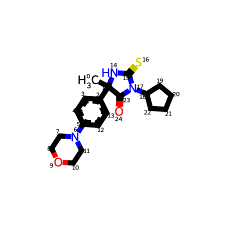 CC1(c2ccc(N3CCOCC3)cc2)NC(=S)N(C2CCCC2)C1=O